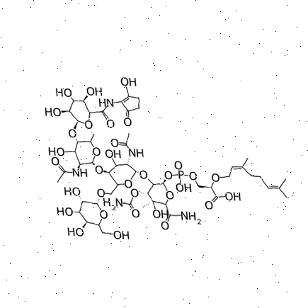 CC(=O)N[C@H]1C(O)[C@H](O[C@@H]2OC(C(=O)NC3=C(O)CCC3=O)[C@H](O)C(O)[C@@H]2O)C(C)O[C@H]1O[C@@H]1C(CO[C@@H]2OC(CO)[C@@H](O)C(O)[C@@H]2O)O[C@@H](OC2[C@@H](OP(=O)(O)OC[C@@H](OC/C=C(/C)CCC=C(C)C)C(=O)O)OC(C(N)=O)[C@@](C)(O)[C@@H]2OC(N)=O)[C@@H](NC(C)=O)C1O